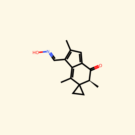 CC1=C(C=NO)C2=C(C)C3(CC3)[C@H](C)C(=O)C2=C1